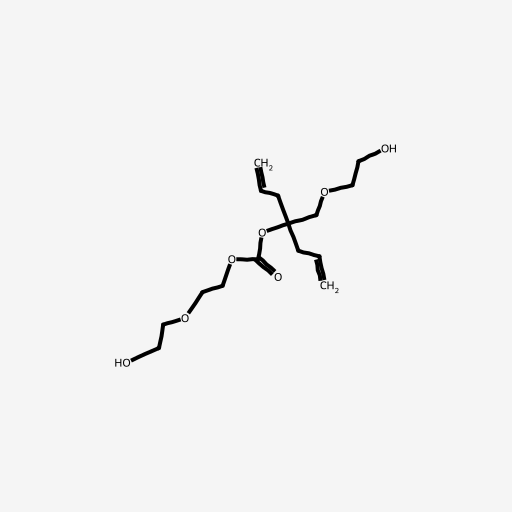 C=CCC(CC=C)(COCCO)OC(=O)OCCOCCO